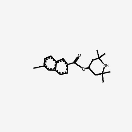 Cc1ccc2cc(C(=O)OC3CC(C)(C)NC(C)(C)C3)ccc2c1